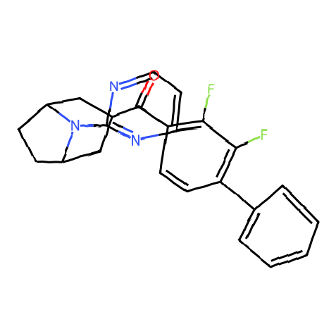 O=C(c1ccc(-c2ccccc2)c(F)c1F)C1CC2CCC(C1)N2c1ncccn1